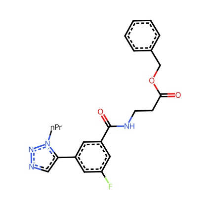 CCCn1nncc1-c1cc(F)cc(C(=O)NCCC(=O)OCc2ccccc2)c1